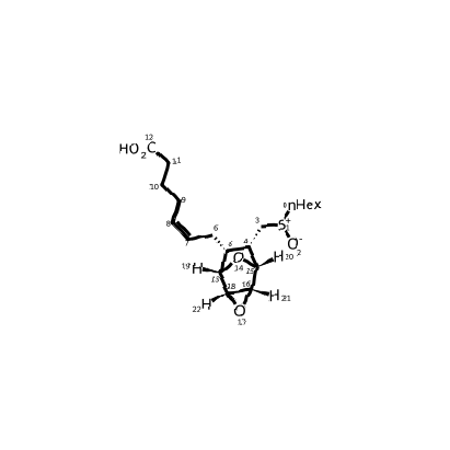 CCCCCC[S+]([O-])C[C@H]1[C@@H](C/C=C\CCCC(=O)O)[C@@H]2O[C@H]1[C@@H]1O[C@@H]12